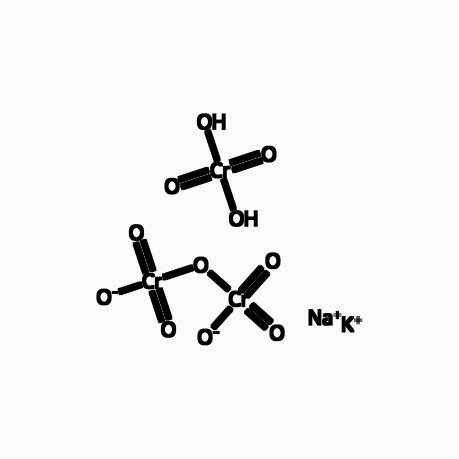 [K+].[Na+].[O]=[Cr](=[O])([O-])[O][Cr](=[O])(=[O])[O-].[O]=[Cr](=[O])([OH])[OH]